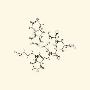 COCCCn1cc(CN(C(=O)C2CC(N)CN(C(=O)OCC3c4ccccc4-c4ccccc43)C2)C2CC2)c2ccccc21